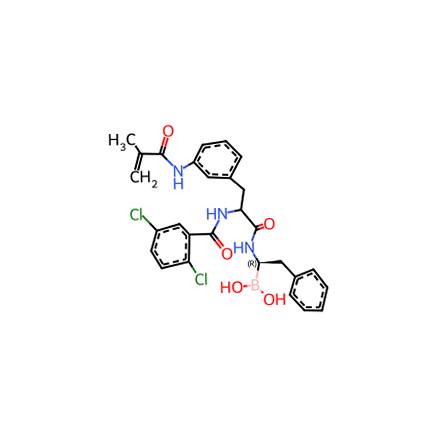 C=C(C)C(=O)Nc1cccc(CC(NC(=O)c2cc(Cl)ccc2Cl)C(=O)N[C@@H](Cc2ccccc2)B(O)O)c1